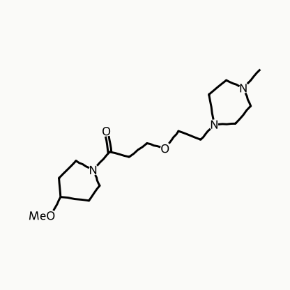 COC1CCN(C(=O)CCOCCN2CCN(C)CC2)CC1